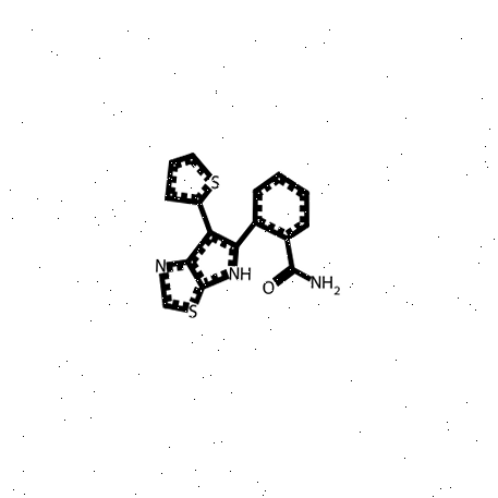 NC(=O)c1ccccc1-c1[nH]c2scnc2c1-c1cccs1